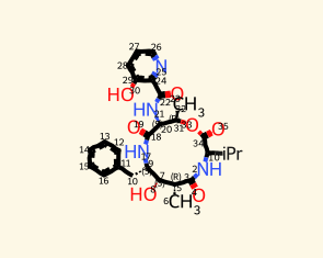 CC(C)C1NC(=O)[C@H](C)[C@H](O)[C@H](Cc2ccccc2)NC(=O)[C@@H](NC(=O)c2ncccc2O)[C@@H](C)OC1=O